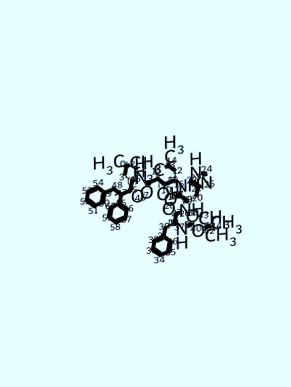 CC(C)C[C@H](NC(=O)C[C@H](O)[C@H](CC(C)C)NC(=O)[C@H](Cc1c[nH]cn1)NC(=O)[C@H](Cc1ccccc1)NC(=O)OC(C)(C)C)C(=O)[C](Cc1ccccc1)c1ccccc1